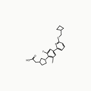 O=C(O)CC1CCN(c2c(F)cc(-c3cccc(OCC4CCC4)n3)cc2F)C1